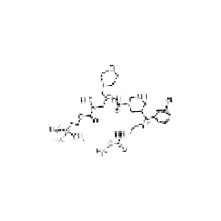 COC(=O)NCCO[C@@H](c1cccc(Cl)c1)C1CNCC(C(=O)N[C@H](CC2CCOCC2)CN(C)C(=O)OCC[Si](C)(C)C)C1